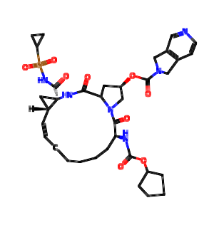 O=C(N[C@H]1CCCCC/C=C\[C@@H]2C[C@@]2(C(=O)NS(=O)(=O)C2CC2)NC(=O)C2C[C@@H](OC(=O)N3Cc4ccncc4C3)CN2C1=O)OC1CCCC1